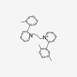 Cc1ccc(C)c(-c2cccc[n+]2CC[n+]2ccccc2-c2ccccc2C)c1